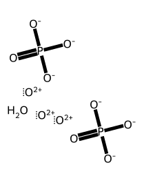 O.O=P([O-])([O-])[O-].O=P([O-])([O-])[O-].[O+2].[O+2].[O+2]